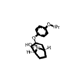 CCCOc1ccc(O[C@H]2C[C@H]3CC[C@@H](C2)N3C(=O)O)cc1